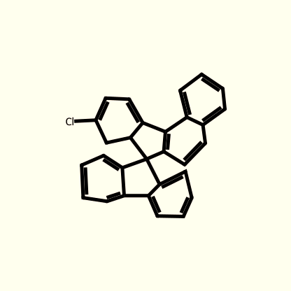 ClC1=CC=C2c3c(ccc4ccccc34)C3(c4ccccc4-c4ccccc43)C2C1